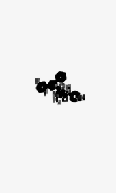 CC(C)(C(=O)NC1CCNCC1)[C@H](N)C(=O)N1CC(C2C=C(F)C=CC2F)=C[C@H]1c1ccccc1